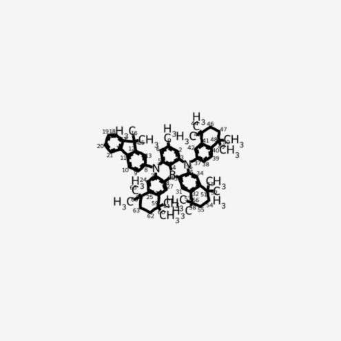 Cc1cc2c3c(c1)N(c1ccc4c(c1)C(C)(C)c1ccccc1-4)c1cc4c(cc1B3c1cc3c(cc1N2c1ccc2c(c1)C(C)(C)CCC2(C)C)C(C)(C)CCC3(C)C)C(C)(C)CCC4(C)C